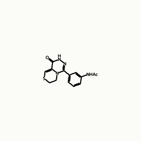 CC(=O)Nc1cccc(C2=NNC(=O)C3=CSCCN32)c1